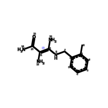 Cc1ccccc1CN/C(N)=C(\N)C(N)=O